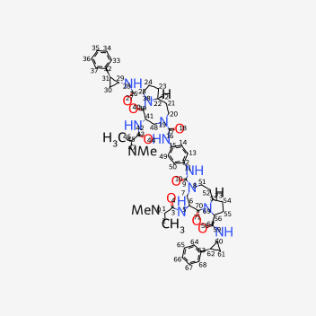 CN[C@@H](C)C(=O)N[C@H]1CN(C(=O)Nc2ccc(NC(=O)N3CC[C@H]4CC[C@@H](C(=O)N[C@@H]5C[C@H]5c5ccccc5)N4C(=O)[C@@H](NC(=O)[C@H](C)NC)C3)cc2)CC[C@H]2CC[C@@H](C(=O)N[C@@H]3C[C@H]3c3ccccc3)N2C1=O